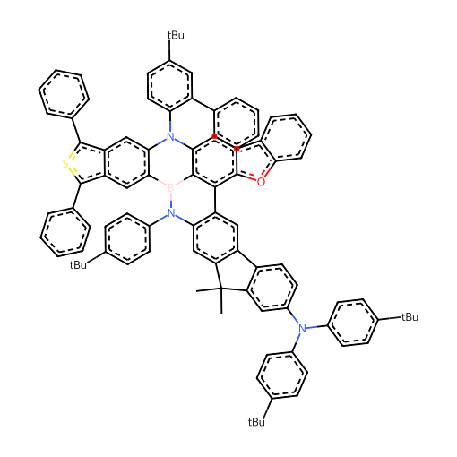 CC(C)(C)c1ccc(N2B3c4cc5c(-c6ccccc6)sc(-c6ccccc6)c5cc4N(c4ccc(C(C)(C)C)cc4-c4ccccc4)c4cc5c(oc6ccccc65)c(c43)-c3cc4c(cc32)C(C)(C)c2cc(N(c3ccc(C(C)(C)C)cc3)c3ccc(C(C)(C)C)cc3)ccc2-4)cc1